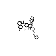 Cc1cc(-c2c(Cl)cc3c(N4CC5CCC(C4)N5)nc(OCCCN4CCCC4)nc3c2F)c2ccccc2c1